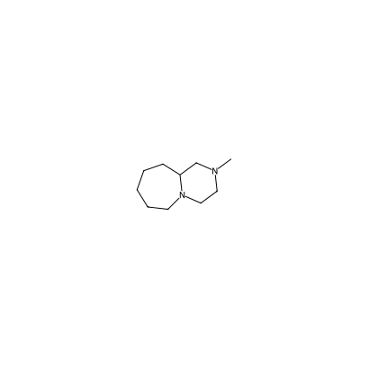 CN1CCN2CCCCCC2C1